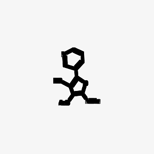 CC(=O)Nc1oc(-c2cccnc2)c(O)c1OC(C)=O